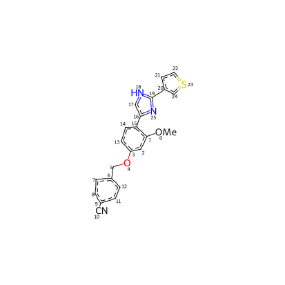 COc1cc(OCc2ccc(C#N)cc2)ccc1-c1c[nH]c(-c2ccsc2)n1